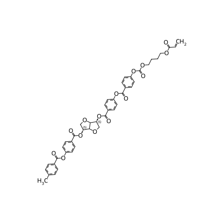 C=CC(=O)OCCCCOC(=O)Oc1ccc(C(=O)Oc2ccc(C(=O)O[C@H]3COC4C3OC[C@@H]4OC(=O)c3ccc(OC(=O)c4ccc(C)cc4)cc3)cc2)cc1